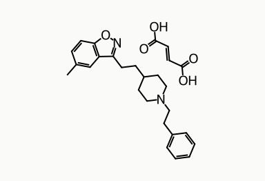 Cc1ccc2onc(CCC3CCN(CCc4ccccc4)CC3)c2c1.O=C(O)/C=C/C(=O)O